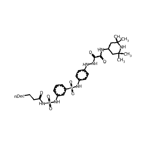 CCCCCCCCCCCCC(=O)NS(=O)(=O)Nc1cccc(S(=O)(=O)Nc2ccc(NNC(=O)C(=O)NC3CC(C)(C)NC(C)(C)C3)cc2)c1